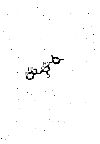 Cc1ccc(NC2=CC(=O)C(=Cc3c[nH]c4ncccc34)O2)c(C)c1